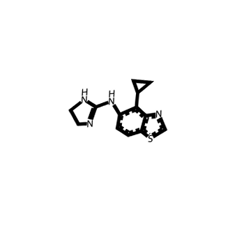 c1nc2c(C3CC3)c(NC3=NCCN3)ccc2s1